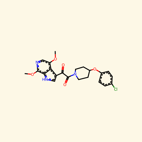 COc1ncc(OC)c2c(C(=O)C(=O)N3CCC(Oc4ccc(Cl)cc4)CC3)c[nH]c12